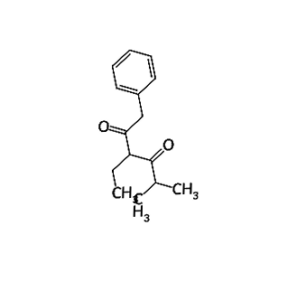 CCC(C(=O)Cc1ccccc1)C(=O)C(C)C